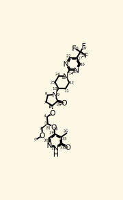 COC[C@@H](CO[C@@H]1CCN(C2CCN(c3ncc(C(F)(F)F)cn3)CC2)C1=O)Oc1cn[nH]c(=O)c1C